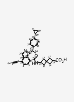 CC#Cc1ccc(C(=O)NC2CC3(C2)CC(C(=O)O)C3)c2c1cnn2C(C)c1ccc(C2CC2)nc1